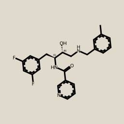 Cc1cccc(CNC[C@@H](O)[C@H](Cc2cc(F)cc(F)c2)NC(=O)c2cccnc2)c1